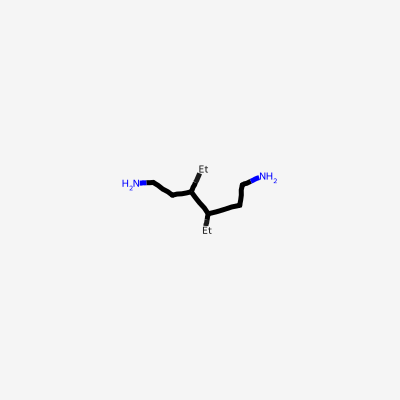 CCC(CCN)C(CC)CCN